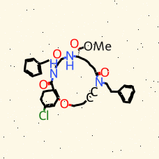 COC(=O)[C@@H]1CCC(=O)N(CCc2ccccc2)CCCCOC2=C(CCC(Cl)=C2)C(=O)N[C@H](Cc2ccccc2)C(=O)N1